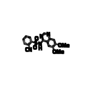 COc1cc2ncnc(NS(=O)(=O)c3ccccc3C#N)c2cc1OC